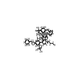 CCCCn1ccc(-c2ccc(OCc3ccccc3)cc2OC(C)C)c(NC(=O)Nc2cc(Cc3ncc[nH]3)ccc2C(C)(C)C)c1=O